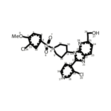 COc1ccc(S(=O)(=O)N2CCC(n3c(-c4ccncc4Cl)nc4ccc(CO)nc43)CC2)cc1Cl